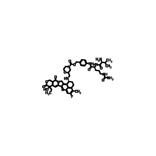 CC[C@]1(O)C(=O)OCc2c1cc1n(c2=O)Cc2c-1nc1cc(F)c(C)c3c1c2[C@H](NCC1CN(C(=O)OCc2ccc(NC(=O)[C@H](CCCNC(N)=O)NC(=O)[C@@H](N)C(C)C)cc2)CCO1)CC3